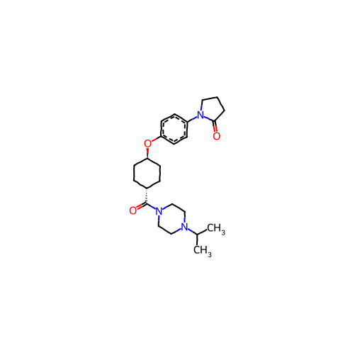 CC(C)N1CCN(C(=O)[C@H]2CC[C@H](Oc3ccc(N4CCCC4=O)cc3)CC2)CC1